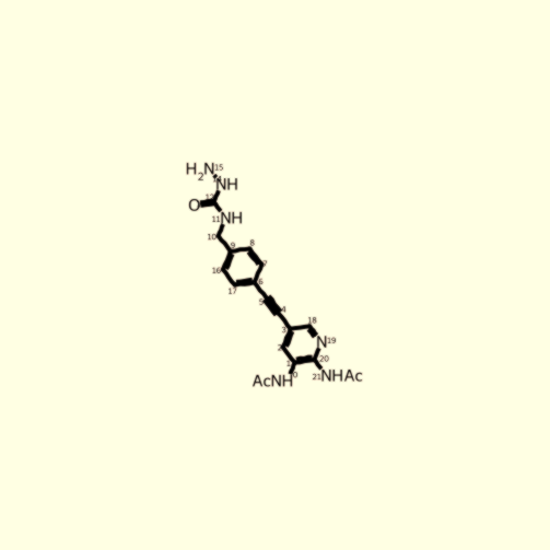 CC(=O)Nc1cc(C#Cc2ccc(CNC(=O)NN)cc2)cnc1NC(C)=O